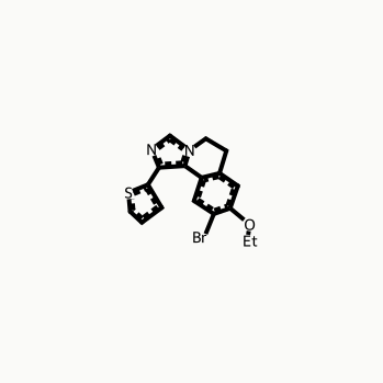 CCOc1cc2c(cc1Br)-c1c(-c3cccs3)ncn1CC2